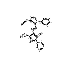 Cc1nn(-c2ccccc2)c(O)c1N=Nc1c(C#N)cnn1-c1ccccn1